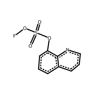 O=S(=O)(OF)Oc1cccc2cccnc12